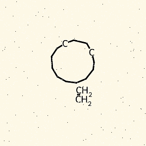 C1CCCCCCCCCCCC1.C=C